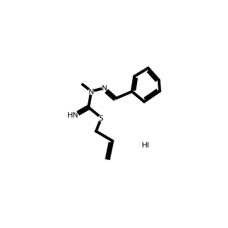 C=CCSC(=N)N(C)N=Cc1ccccc1.I